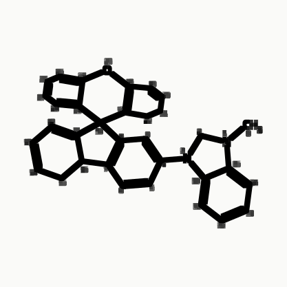 CN1CN(c2ccc3c(c2)C2(C4=CC=CCC43)C3=C(C=CCC3)Oc3ccccc32)c2ccccc21